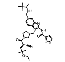 CCOC(C)(C)C=C(C#N)C(=O)N1CCC(Cn2c(NC(=O)c3ccno3)nc3cc(CNC(C)C(C)(C)C)ccc32)C1